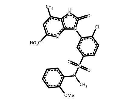 COc1ccccc1N(C)S(=O)(=O)c1ccc(Cl)c(-n2c(=O)[nH]c3c(C)cc(C(=O)O)nc32)c1